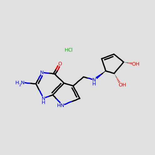 Cl.Nc1nc(=O)c2c(CN[C@H]3C=C[C@H](O)[C@@H]3O)c[nH]c2[nH]1